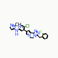 Cn1nccc1Nc1cc(-c2cc3n(c2)CCn2c(Cc4ccccc4F)nnc2-3)c(Cl)cn1